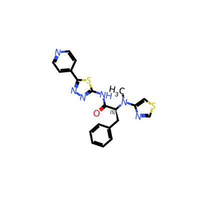 CN(c1cscn1)[C@@H](Cc1ccccc1)C(=O)Nc1nnc(-c2ccncc2)s1